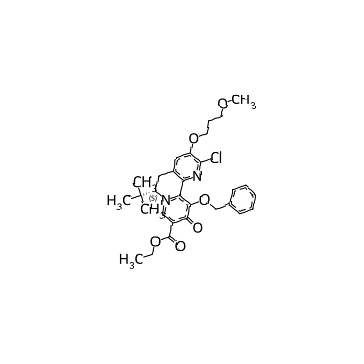 CCOC(=O)c1cn2c(c(OCc3ccccc3)c1=O)-c1nc(Cl)c(OCCCOC)cc1C[C@H]2C(C)(C)C